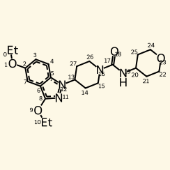 CCOc1ccc2c(c1)c(OCC)nn2C1CCN(C(=O)NC2CCOCC2)CC1